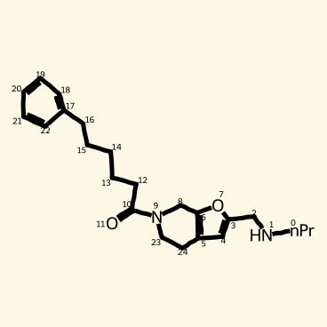 CCCNCc1cc2c(o1)CN(C(=O)CCCCCc1ccccc1)CC2